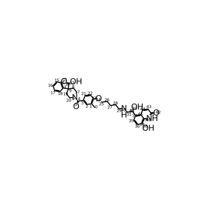 Cc1cc(C(=O)N2CCC(C(=O)O)(c3ccccc3)CC2)ccc1OCCCCCNC[C@H](O)c1ccc(O)c2[nH]c(=O)ccc12